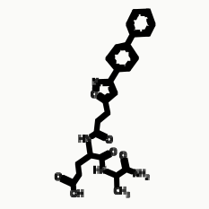 CC(NC(=O)C(CCC(=O)O)NC(=O)CCc1cc(-c2ccc(-c3ccccc3)cc2)no1)C(N)=O